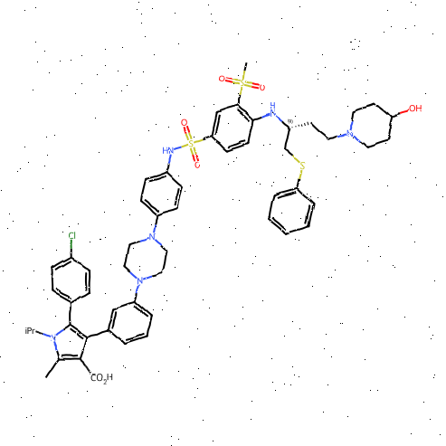 Cc1c(C(=O)O)c(-c2cccc(N3CCN(c4ccc(NS(=O)(=O)c5ccc(N[C@H](CCN6CCC(O)CC6)CSc6ccccc6)c(S(C)(=O)=O)c5)cc4)CC3)c2)c(-c2ccc(Cl)cc2)n1C(C)C